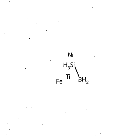 B[SiH3].[Fe].[Ni].[Ti]